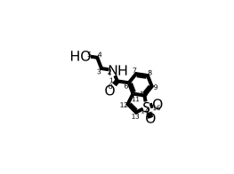 O=C(NCCO)c1cccc2c1C=CS2(=O)=O